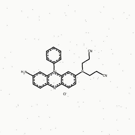 N#CCCN(CCC#N)c1ccc2nc3ccc(N)cc3[n+](-c3ccccc3)c2c1.[Cl-]